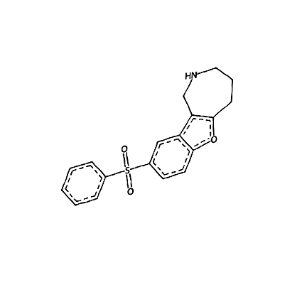 O=S(=O)(c1ccccc1)c1ccc2oc3c(c2c1)CNCCC3